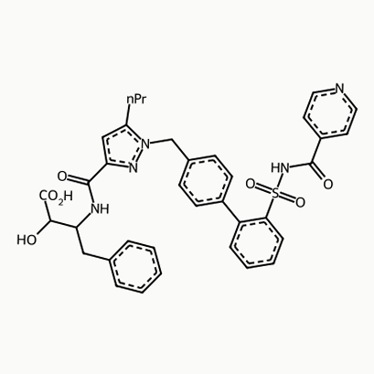 CCCc1cc(C(=O)NC(Cc2ccccc2)C(O)C(=O)O)nn1Cc1ccc(-c2ccccc2S(=O)(=O)NC(=O)c2ccncc2)cc1